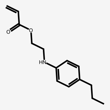 C=CC(=O)OCCNc1ccc(CCC)cc1